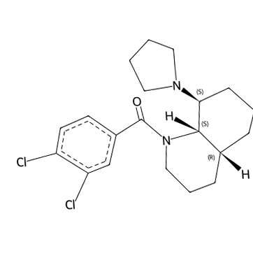 O=C(c1ccc(Cl)c(Cl)c1)N1CCC[C@H]2CCC[C@H](N3CCCC3)[C@H]21